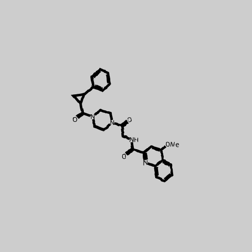 COc1cc(C(=O)NCC(=O)N2CCN(C(=O)C3CC3c3ccccc3)CC2)nc2ccccc12